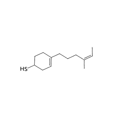 C/C=C(/C)CCCC1=CCC(S)CC1